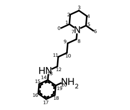 CC1CCCC(C)N1CCCCCNc1ccccc1N